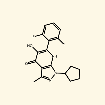 Cc1nn(C2CCCC2)c2[nH]c(-c3c(F)cccc3F)c(O)c(=O)c12